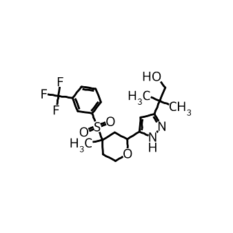 CC(C)(CO)c1cc(C2CC(C)(S(=O)(=O)c3cccc(C(F)(F)F)c3)CCO2)[nH]n1